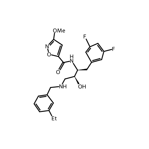 CCc1cccc(CNC[C@H](O)[C@H](Cc2cc(F)cc(F)c2)NC(=O)c2cc(OC)no2)c1